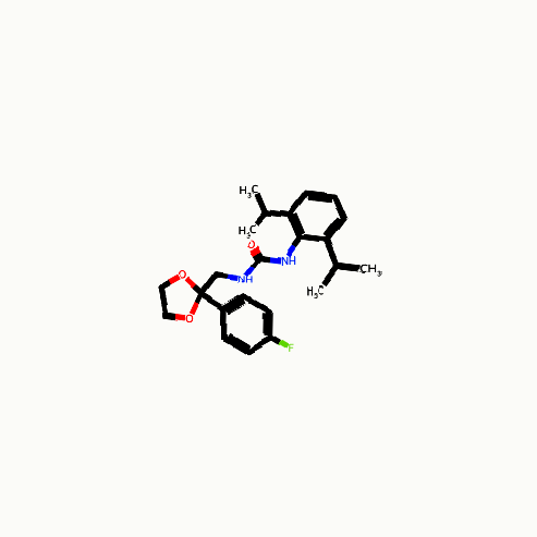 CC(C)c1cccc(C(C)C)c1NC(=O)NCC1(c2ccc(F)cc2)OCCO1